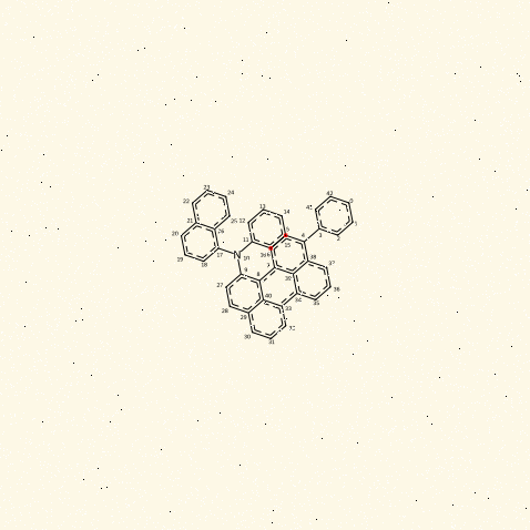 c1ccc(-c2ccc3c4c(N(c5ccccc5)c5cccc6ccccc56)ccc5cccc(c6cccc2c63)c54)cc1